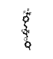 Cc1ccc(OCc2coc(/C=C/c3ccc(C(F)(F)F)cc3)n2)cc1